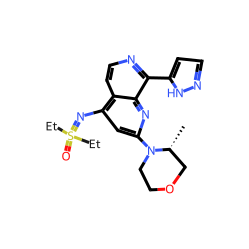 CCS(=O)(CC)=Nc1cc(N2CCOC[C@H]2C)nc2c(-c3ccn[nH]3)nccc12